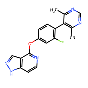 Cc1ncnc(C#N)c1-c1ccc(Oc2nccc3[nH]ncc23)cc1F